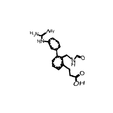 N=C(N)Nc1cccc(-c2cccc(CCC(=O)O)c2CNC=O)c1